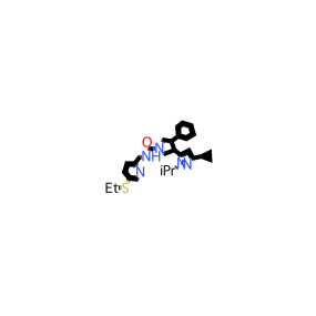 CCSc1ccc(CNC(=O)N2CC(c3ccccc3)C(c3cc(C4CC4)nn3C(C)C)C2)nc1